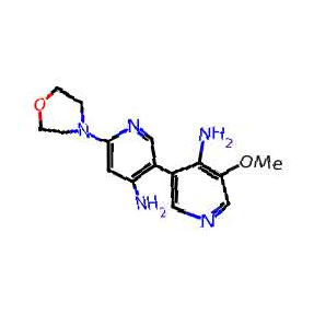 COc1cncc(-c2cnc(N3CCOCC3)cc2N)c1N